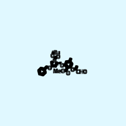 COC(=O)c1c(OC[C@H]2C[C@H](OCc3ccccc3)CN2C(=O)OC(C)(C)C)cc(C)cc1O[C@H](C)C=O